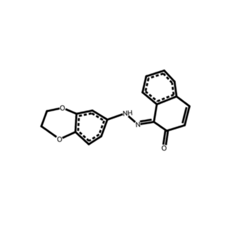 O=C1C=Cc2ccccc2/C1=N\Nc1ccc2c(c1)OCCO2